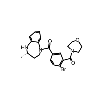 C[C@H]1CCN(C(=O)c2ccc(Br)c(C(=O)N3CCOCC3)c2)c2ccccc2N1